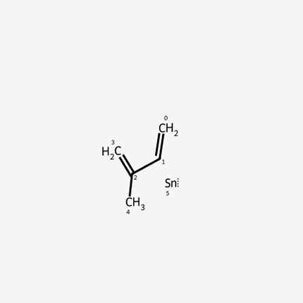 C=CC(=C)C.[Sn]